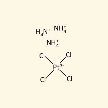 [Cl][Pt-3]([Cl])([Cl])[Cl].[NH4+].[NH4+].[NH4+]